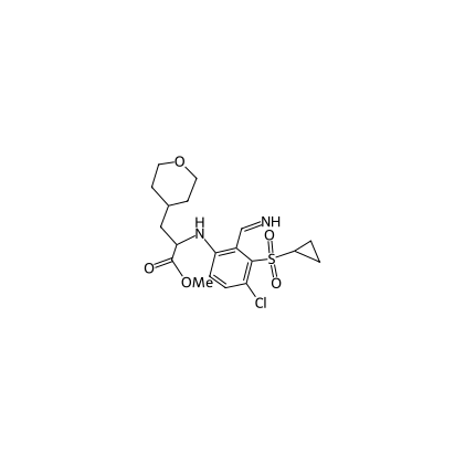 COC(=O)C(CC1CCOCC1)Nc1ccc(Cl)c(S(=O)(=O)C2CC2)c1C=N